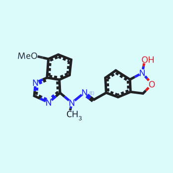 COc1cccc2c(N(C)/N=C/c3ccc4c(c3)CON4O)ncnc12